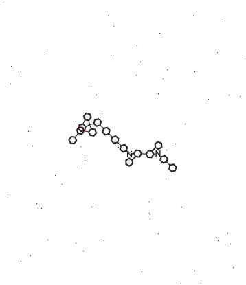 c1ccc(-c2ccc(-n3c4ccccc4c4cc(-c5ccc6c(c5)c5ccccc5n6-c5ccc(-c6ccc(-c7ccc(-c8cccc(C9(c%10ccccc%10-c%10cccc(-c%11ccccc%11)c%10)c%10ccccc%10-c%10ccccc%109)c8)cc7)cc6)cc5)ccc43)cc2)cc1